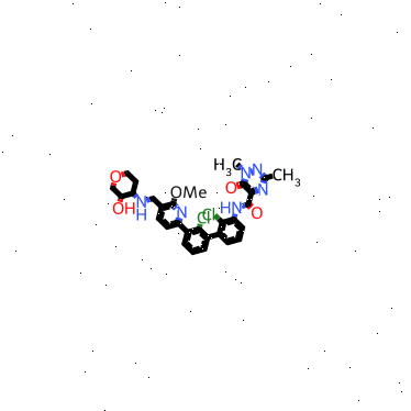 COc1nc(-c2cccc(-c3cccc(NC(=O)c4nc(C)nn(C)c4=O)c3Cl)c2Cl)ccc1CNC1CCOCC1O